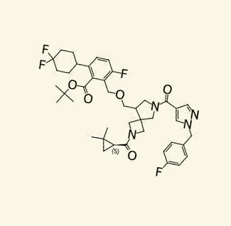 CC(C)(C)OC(=O)c1c(C2CCC(F)(F)CC2)ccc(F)c1COCC1CN(C(=O)c2cnn(Cc3ccc(F)cc3)c2)CC12CN(C(=O)[C@H]1CC1(C)C)C2